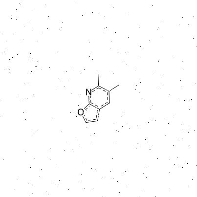 Cc1cc2ccoc2nc1C